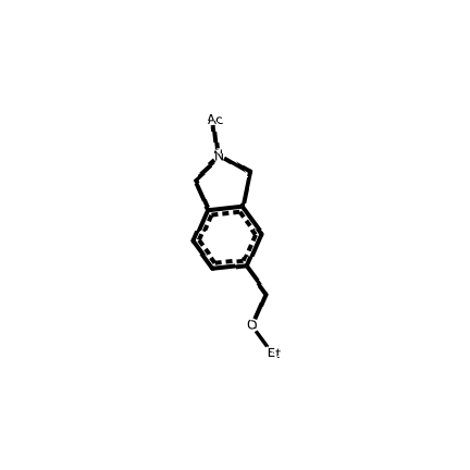 CCOCc1ccc2c(c1)CN(C(C)=O)C2